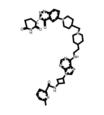 Cc1cccc(C(=O)NC2CC(n3cnc4c(NCCC5CCN(CC6CCN(c7ccc8nnn([C@H]9CCC(=O)NC9=O)c(=O)c8c7)CC6)CC5)ncnc43)C2)n1